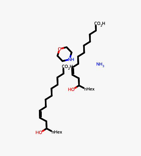 C1COCCN1.CCCCCCC(O)C/C=C\CCCCCCCC(=O)O.CCCCCCC(O)C/C=C\CCCCCCCC(=O)O.N